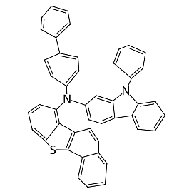 c1ccc(-c2ccc(N(c3ccc4c5ccccc5n(-c5ccccc5)c4c3)c3cccc4sc5c6ccccc6ccc5c34)cc2)cc1